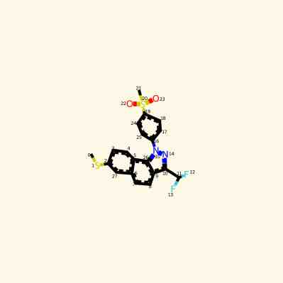 CSc1ccc2c(ccc3c(C(F)F)nn(-c4ccc(S(C)(=O)=O)cc4)c32)c1